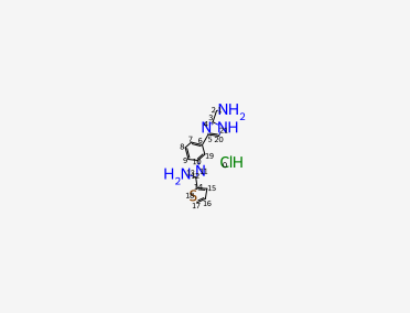 Cl.NCc1nc(-c2cccc(N=C(N)c3cccs3)c2)c[nH]1